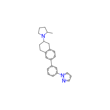 CC1CCCN1C1CCc2cc(-c3cccc(-n4cccn4)c3)ccc2C1